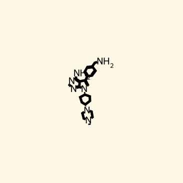 CN1CCN([C@H]2CC[C@H](n3cc(-c4ccc(CN)cc4)c4c(N)ncnc43)CC2)CC1